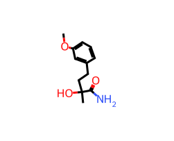 COc1cccc(CCC(C)(O)C(N)=O)c1